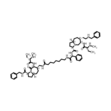 CC[C@H](NC)C(=O)N[C@@H]1C(=O)N2[C@@H](CC[C@@H]1CNC(=O)CCCCCCCNC(=O)[C@@H](NC(=O)[C@@H]1CC[C@@H]3CC[C@H](CCNCc4ccccc4)[C@H](NC(=O)[C@H](CC)NC)CN31)c1ccccc1)CC[C@H]2C(=O)NCc1ccccc1